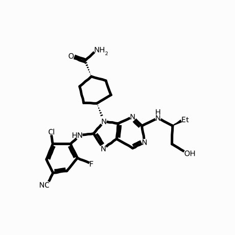 CC[C@@H](CO)Nc1ncc2nc(Nc3c(F)cc(C#N)cc3Cl)n([C@H]3CC[C@@H](C(N)=O)CC3)c2n1